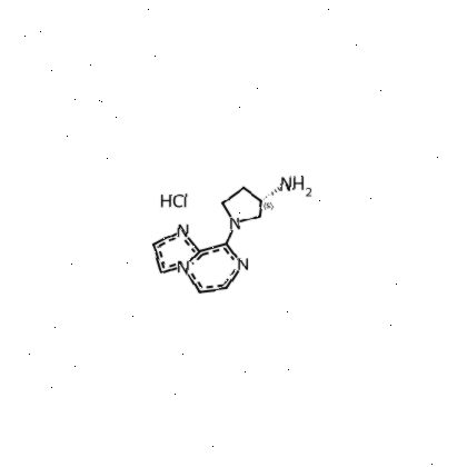 Cl.N[C@H]1CCN(c2nccn3ccnc23)C1